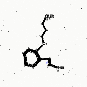 CCCCCC/C=C/c1ccccc1OCCCC(=O)OCC